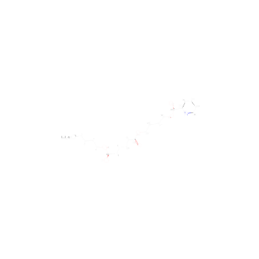 COCCCCOC(=O)CCCCC(=O)OCCCCOC(=O)c1ccccn1